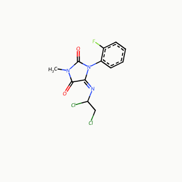 CN1C(=O)/C(=N\C(Cl)CCl)N(c2ccccc2F)C1=O